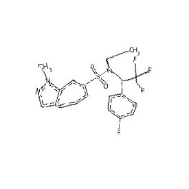 CCN(C(c1ccc(F)cc1)C(F)(F)F)S(=O)(=O)c1ccc2cnn(C)c2c1